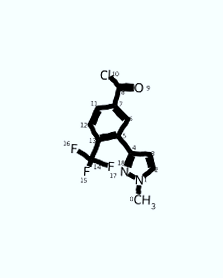 Cn1ccc(-c2cc(C(=O)Cl)ccc2C(F)(F)F)n1